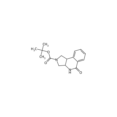 CC(C)(C)OC(=O)N1CC2NC(=O)c3ccccc3C2C1